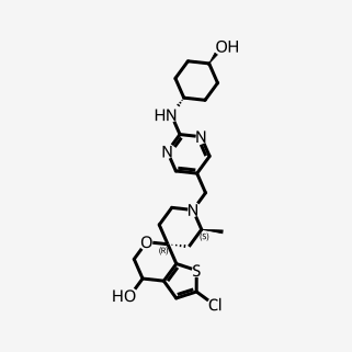 C[C@H]1C[C@@]2(CCN1Cc1cnc(N[C@H]3CC[C@H](O)CC3)nc1)OCC(O)c1cc(Cl)sc12